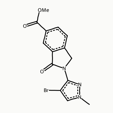 COC(=O)c1ccc2c(c1)C(=O)N(c1nn(C)cc1Br)C2